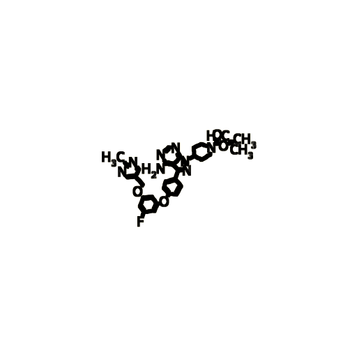 Cc1ncc(COc2cc(F)cc(Oc3ccc(-c4nn(C5CCN(C(=O)OC(C)(C)C)CC5)c5ncnc(N)c45)cc3)c2)cn1